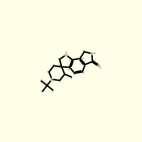 CC1CN(C(C)(C)C)CCC12COc1c2ccc2c1COC2=O